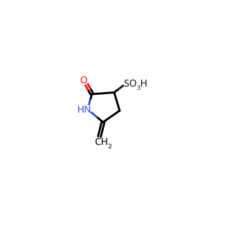 C=C1CC(S(=O)(=O)O)C(=O)N1